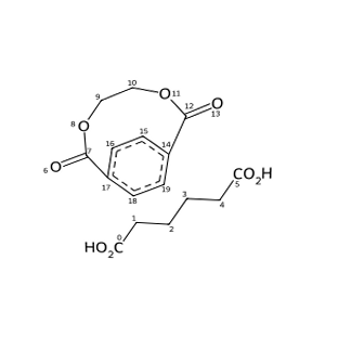 O=C(O)CCCCC(=O)O.O=C1OCCOC(=O)c2ccc1cc2